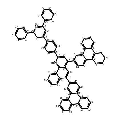 C1=Cc2c(c3ccccc3c3cc(-c4cc(-c5ccc(C6=CC(c7ccccc7)=NC(c7ccccc7)C6)cc5)nc5c4cc(-c4ccc6c7ccccc7c7ccccc7c6c4)c4ccccc45)ccc23)CC1